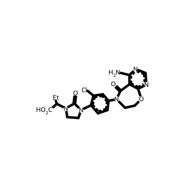 CCC(C(=O)O)N1CCN(c2ccc(N3CCOc4ncnc(N)c4C3=O)cc2Cl)C1=O